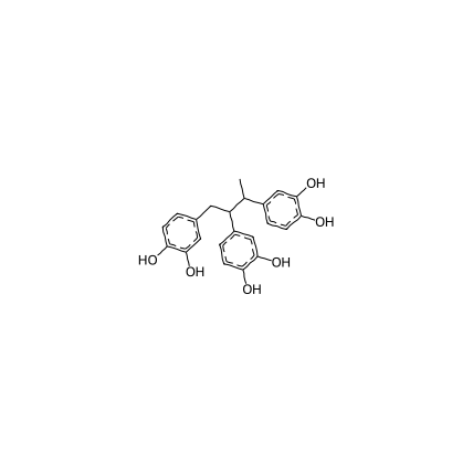 CC(c1ccc(O)c(O)c1)C(Cc1ccc(O)c(O)c1)c1ccc(O)c(O)c1